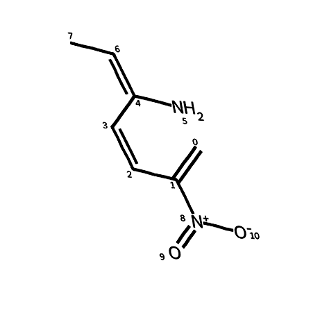 C=C(/C=C\C(N)=C/C)[N+](=O)[O-]